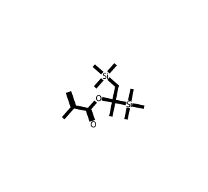 C=C(C)C(=O)OC(C)(C[Si](C)(C)C)[Si](C)(C)C